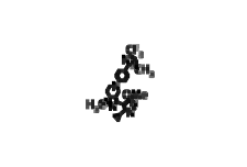 COc1ncnc(C2CC2)c1-c1nn(C)c2c1CN(c1ccc(-c3nc(C(F)(F)F)cn3C)cc1)CC2